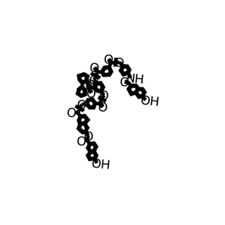 CC(C)(Oc1ccc(OC(C)(C)C(=O)c2cccc(C(=O)C(C)(C)Oc3ccc(NC(=O)c4ccc5cc(O)ccc5c4)cc3)c2)c(P2(=O)Oc3ccccc3-c3ccccc32)c1)C(=O)c1ccc(OC(C)(C)C(=O)c2ccc3cc(OC(=O)c4ccc5cc(O)ccc5c4)ccc3c2)cc1